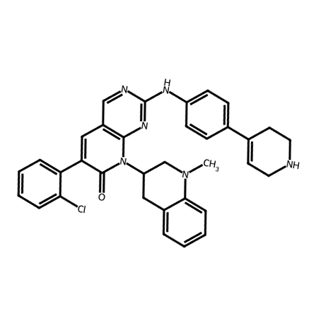 CN1CC(n2c(=O)c(-c3ccccc3Cl)cc3cnc(Nc4ccc(C5=CCNCC5)cc4)nc32)Cc2ccccc21